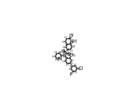 COc1cc(-c2cc(F)cc(Cl)c2)ccc1N(c1cccnn1)S(=O)(=O)c1ccc2[nH]c(=O)ccc2c1